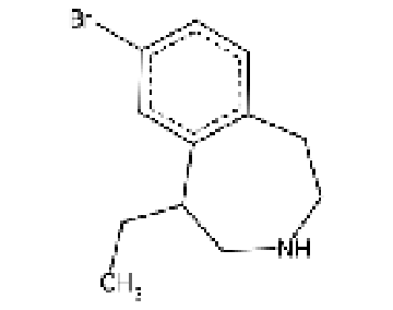 CCC1CNCCc2ccc(Br)cc21